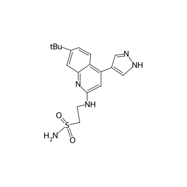 CC(C)(C)c1ccc2c(-c3cn[nH]c3)cc(NCCS(N)(=O)=O)nc2c1